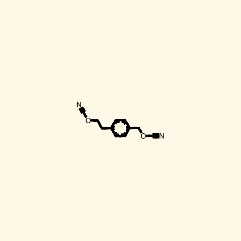 N#COCCc1ccc(COC#N)cc1